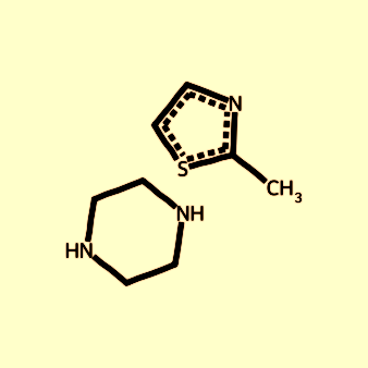 C1CNCCN1.Cc1nccs1